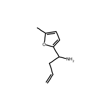 C=CCC(N)c1ccc(C)o1